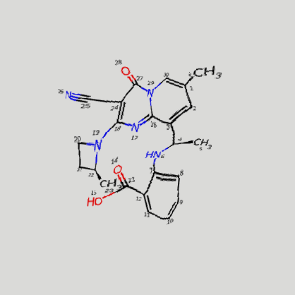 Cc1cc([C@@H](C)Nc2ccccc2C(=O)O)c2nc(N3CC[C@@H]3C)c(C#N)c(=O)n2c1